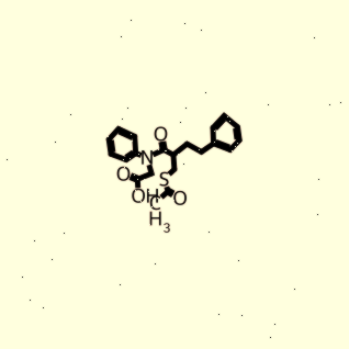 CC(=O)SCC(CCc1ccccc1)C(=O)N(CC(=O)O)c1ccccc1